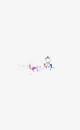 CC(C)(C)OC(=O)NCCOc1cnc(Cl)c2ccccc12